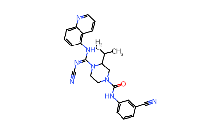 CC(C)C1CN(C(=O)Nc2cccc(C#N)c2)CCN1/C(=N\C#N)Nc1cccc2ncccc12